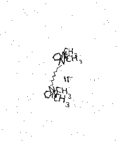 Cc1n(C)c2ccccc2[n+]1CCCCCCCCCC[n+]1c(C)n(C)c2ccccc21.[I-].[I-]